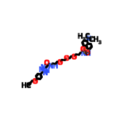 C#CCOc1ccc(-c2nnc(C(=O)NCCCOCCOCCOCCCNS(=O)(=O)c3cccc4c(N(C)C)cccc34)nn2)cc1